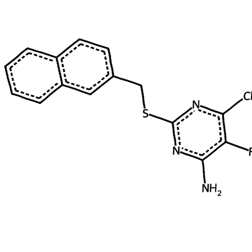 Nc1nc(SCc2ccc3ccccc3c2)nc(Cl)c1F